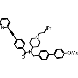 COc1ccc(-c2ccc(CN(C(=O)c3ccc(C#Cc4ccccn4)cc3)C3CCN(CCC(C)C)CC3)cc2)cc1